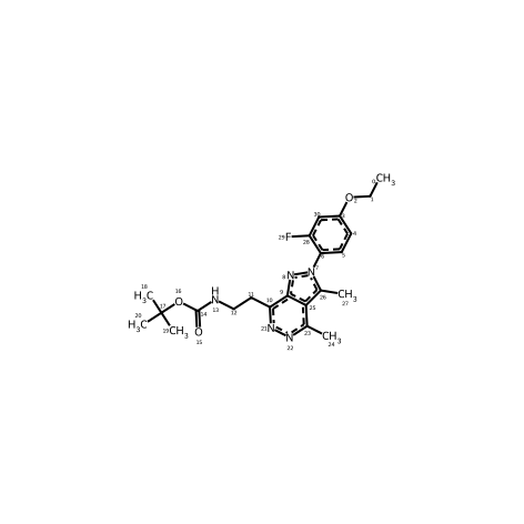 CCOc1ccc(-n2nc3c(CCNC(=O)OC(C)(C)C)nnc(C)c3c2C)c(F)c1